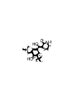 CN(C)Cc1cc(C(O)C2SCCNC2=O)cc(C(C)(C)C)c1O